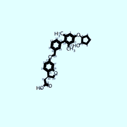 Cc1cc(O[C@H]2CCC[C@@H]2O)cc(C)c1-c1cccc(COc2ccc3c(c2)OC[C@H]3CC(=O)O)c1